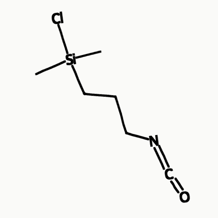 C[Si](C)(Cl)CCCN=C=O